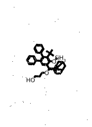 CC(C)(C)c1c(O[SiH3])c(C(OCCCO)=C2C3CC4CC(C3)CC2C4)cc(-c2ccccc2)c1-c1ccccc1